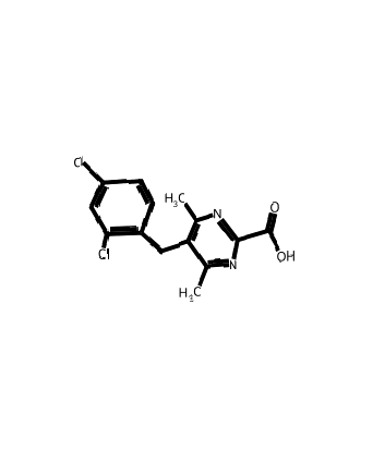 Cc1nc(C(=O)O)nc(C)c1Cc1ccc(Cl)cc1Cl